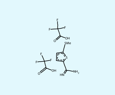 CSc1ccc(C(=N)N)s1.O=C(O)C(F)(F)F.O=C(O)C(F)(F)F